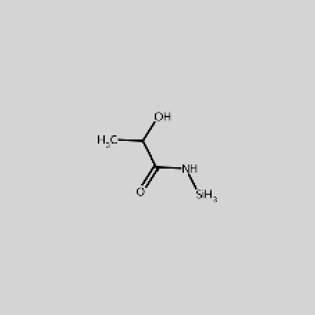 CC(O)C(=O)N[SiH3]